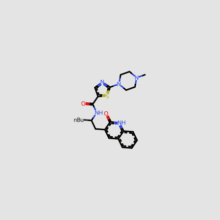 CCCCC(Cc1cc2ccccc2[nH]c1=O)NC(=O)c1cnc(N2CCN(C)CC2)s1